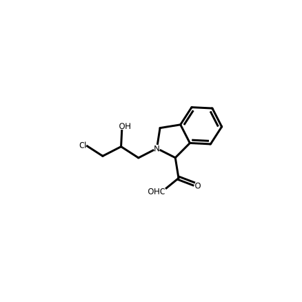 O=CC(=O)C1c2ccccc2CN1CC(O)CCl